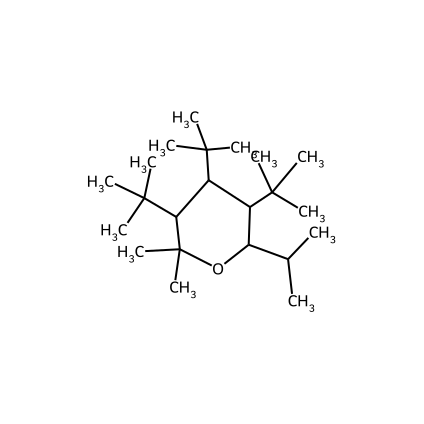 CC(C)C1OC(C)(C)C(C(C)(C)C)C(C(C)(C)C)C1C(C)(C)C